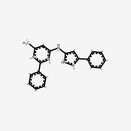 Cc1cc(Nc2cc(-c3ccccc3)n[nH]2)nc(-c2ccccc2)n1